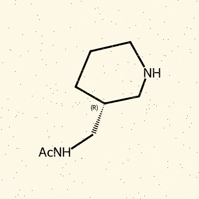 CC(=O)NC[C@@H]1CCCNC1